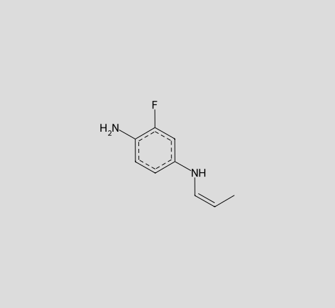 C/C=C\Nc1ccc(N)c(F)c1